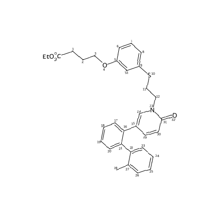 CCOC(=O)CCCOc1cccc(SCCn2cc(-c3ccccc3-c3ccccc3C)ccc2=O)c1